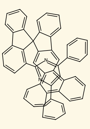 c1ccc(-c2cc(-c3ccccc3)nc(-c3cccc4c3C3(c5ccccc5-c5cc6c7ccccc7c7ccccc7c6cc53)c3ccccc3-4)n2)cc1